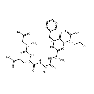 C[C@H](NC(=O)[C@H](C)NC(=O)[C@H](CCC(=O)O)NC(=O)[C@@H](N)CC(=O)O)C(=O)N[C@@H](Cc1ccccc1)C(=O)N[C@@H](CCO)C(=O)O